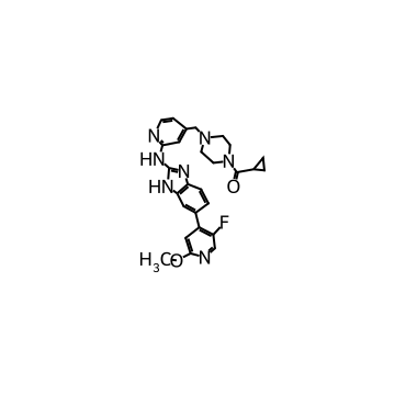 COc1cc(-c2ccc3nc(Nc4cc(CN5CCN(C(=O)C6CC6)CC5)ccn4)[nH]c3c2)c(F)cn1